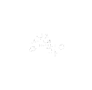 CC[C@]12CC[C@H]3CN(C(=O)[C@@H](NC(=O)[C@@H](NC(=O)c4cnccn4)C4CCCCC4)C(C)(C)C)[C@H](C(=O)N[C@@H]1C(=O)C(=O)N[C@@H](C)c1ccncc1)[C@@H]32